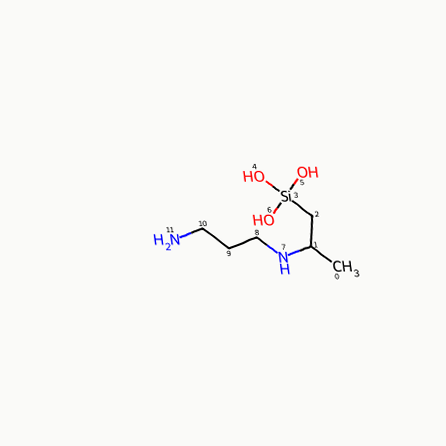 CC(C[Si](O)(O)O)NCCCN